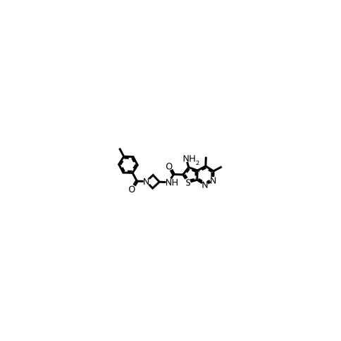 Cc1ccc(C(=O)N2CC(NC(=O)c3sc4nnc(C)c(C)c4c3N)C2)cc1